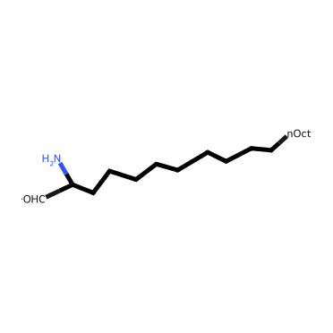 CCCCCCCCCCCCCCCCCC(N)[C]=O